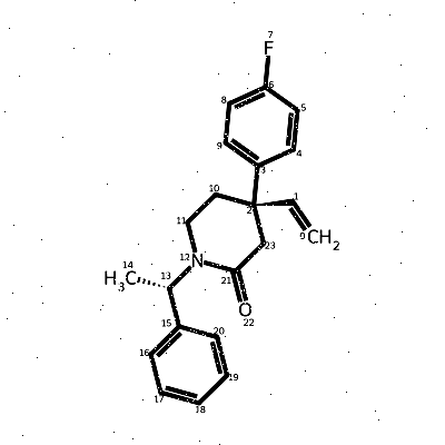 C=C[C@]1(c2ccc(F)cc2)CCN([C@@H](C)c2ccccc2)C(=O)C1